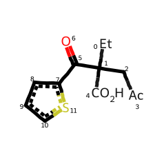 CCC(CC(C)=O)(C(=O)O)C(=O)c1cccs1